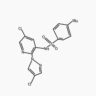 CC(C)(C)c1ccc(S(=O)(=O)Nc2cc(Cl)cnc2-n2cc(Cl)cn2)cc1